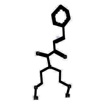 CCOCCN(CCOCC)C(=O)C(=O)/C=C/c1ccccc1